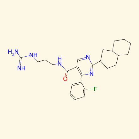 N=C(N)NCCCNC(=O)c1cnc(C2CCC3CCCCC3C2)nc1-c1ccccc1F